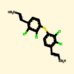 O=C(O)/C=C/c1ccc(Sc2ccc(/C=C/C(=O)O)c(Cl)c2Cl)c(Cl)c1Cl